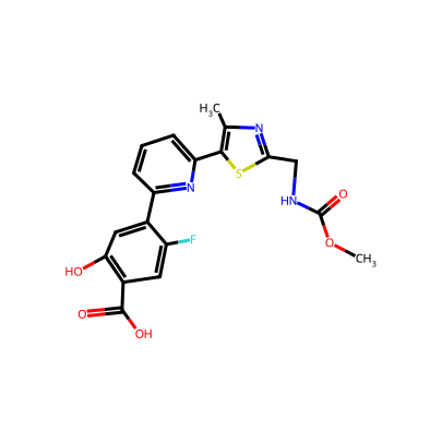 COC(=O)NCc1nc(C)c(-c2cccc(-c3cc(O)c(C(=O)O)cc3F)n2)s1